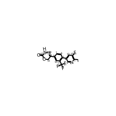 Cc1ncc(-c2ccc(C3=NNC(=O)OC3)cc2C(F)(F)F)cc1F